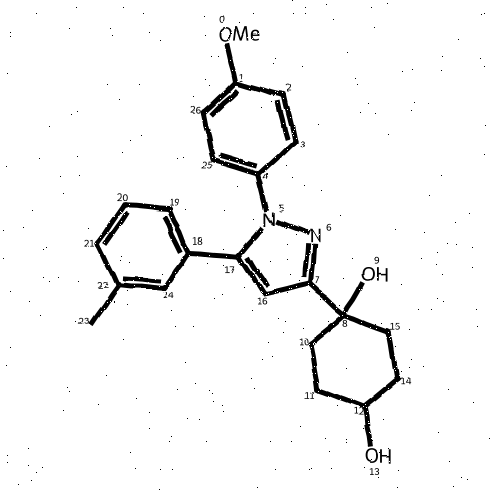 COc1ccc(-n2nc(C3(O)CCC(O)CC3)cc2-c2cccc(C)c2)cc1